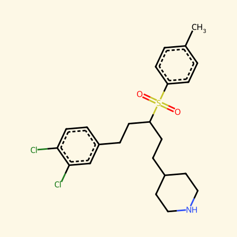 Cc1ccc(S(=O)(=O)C(CCc2ccc(Cl)c(Cl)c2)CCC2CCNCC2)cc1